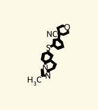 Cc1cn2c(ccc3cc(Sc4cccc(C5(C#N)CCOCC5)c4)ccc32)n1